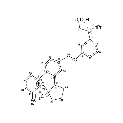 CCC[C@@H](CC(=O)O)c1cccc(OCc2ccc(-c3cccc(C(C)=O)c3)c([C@H]3CCCC3(C)C)c2)c1